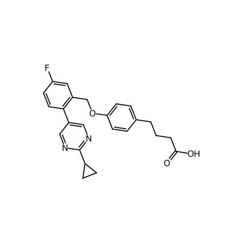 O=C(O)CCCc1ccc(OCc2cc(F)ccc2-c2cnc(C3CC3)nc2)cc1